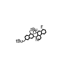 CC(C)(C)Cc1ccc2c(CC(C)(C)C)c3c(cc2c1)-c1nccc2c1c(cc1c(F)cccc12)O3